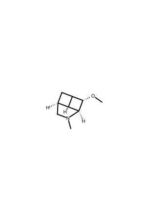 CO[C@H]1C2C[C@@H]3CN(C)[C@H]1[C@H]23